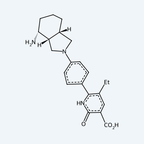 CCc1cc(C(=O)O)c(=O)[nH]c1-c1ccc(N2C[C@H]3CCC[C@@H](N)[C@H]3C2)cc1